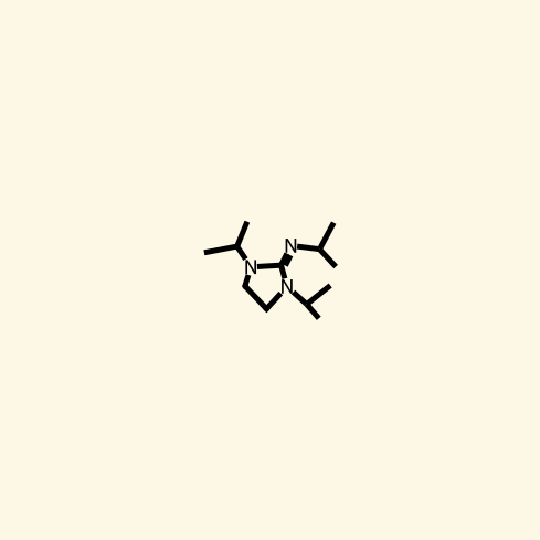 CC(C)N=C1N(C(C)C)CCN1C(C)C